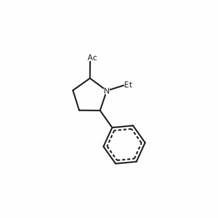 CCN1C(C(C)=O)CCC1c1ccccc1